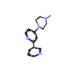 CN1CCN(c2ccnc(-c3cccnc3)c2)CC1